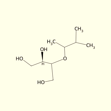 CC(C)C(C)OC(CO)[C@H](O)CO